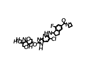 N[C@]12OC[C@@H](Oc3nc4nc(NC5CCc6cc(C(=O)N7CCC7)cc(F)c65)c(Cl)cc4[nH]3)[C@H]1OC[C@H]2O